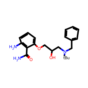 CC(C)(C)N(Cc1ccccc1)CC(O)COc1cccc(N)c1C(N)=O